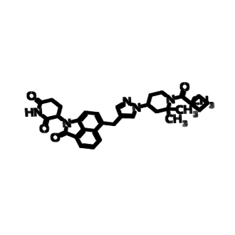 CC1(C(=O)N2CCC(n3cc(Cc4ccc5c6c(cccc46)C(=O)N5C4CCC(=O)NC4=O)cn3)CC2(C)C)CCC1